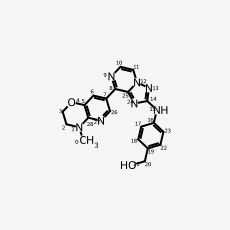 CN1CCOc2cc(-c3nccn4nc(Nc5ccc(CO)cc5)nc34)cnc21